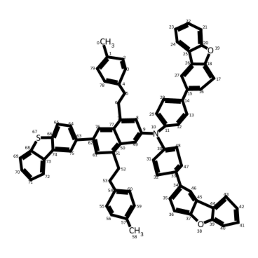 Cc1ccc(CCc2cc(N(c3ccc(-c4ccc5oc6ccccc6c5c4)cc3)c3ccc(-c4ccc5oc6ccccc6c5c4)cc3)cc3c(CCc4ccc(C)cc4)cc(-c4ccc5sc6ccccc6c5c4)cc23)cc1